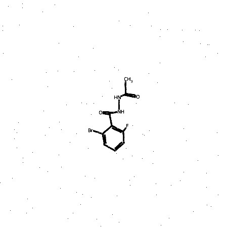 CC(=O)NNC(=O)c1c(F)cccc1Br